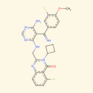 COc1ccc(C(=N)c2c(N)ncnc2NCc2nc3cccc(F)c3c(=O)n2C2CCC2)cc1F